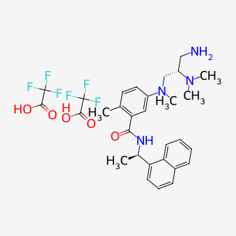 Cc1ccc(N(C)C[C@H](CN)N(C)C)cc1C(=O)N[C@H](C)c1cccc2ccccc12.O=C(O)C(F)(F)F.O=C(O)C(F)(F)F